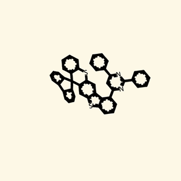 c1ccc(-c2cc(-c3cccc4sc5cc6c(cc5c34)Sc3ccccc3C63c4ccccc4-c4ccccc43)nc(-c3ccccc3)n2)cc1